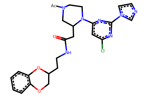 CC(=O)N1CCN(c2cc(Cl)nc(-n3ccnc3)n2)C(CC(=O)NCCC2COc3ccccc3O2)C1